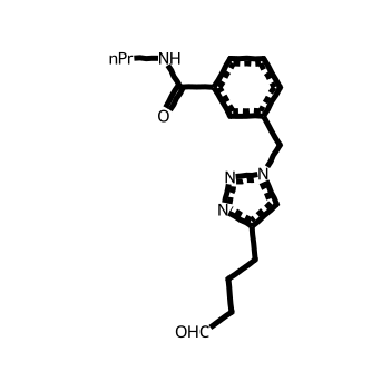 CCCNC(=O)c1cccc(Cn2cc(CCCC=O)nn2)c1